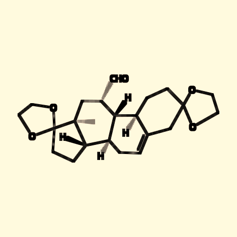 C[C@]12C[C@H](C=O)[C@H]3[C@@H](CC=C4CC5(CC[C@@H]43)OCCO5)[C@@H]1CCC21OCCO1